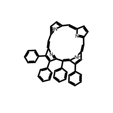 [c]1c(-c2ccccc2)c2[nH]c1cc1nc(cc3ccc(cc4nc(c2-c2ccccc2)C(c2ccccc2)=C4c2ccccc2)[nH]3)C=C1